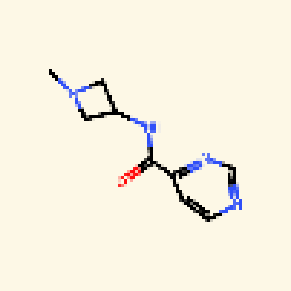 CN1CC(NC(=O)c2ccncn2)C1